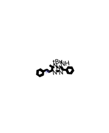 Cc1nn2c(NC(C)(C)C)c(-c3ccccc3)nc2nc1/C=C/c1ccccc1